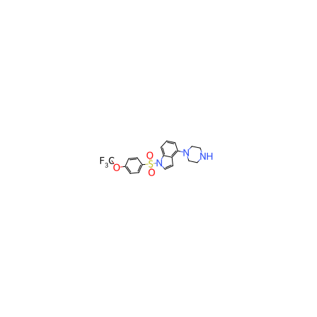 O=S(=O)(c1ccc(OC(F)(F)F)cc1)n1ccc2c(N3CCNCC3)cccc21